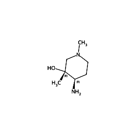 CN1CC[C@@H](N)[C@](C)(O)C1